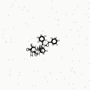 Cc1cn([C@@H]2O[C@@]3(COCc4ccccc4)CC[C@@H]2[C@@H]3OCc2ccccc2)c(=O)[nH]c1=O